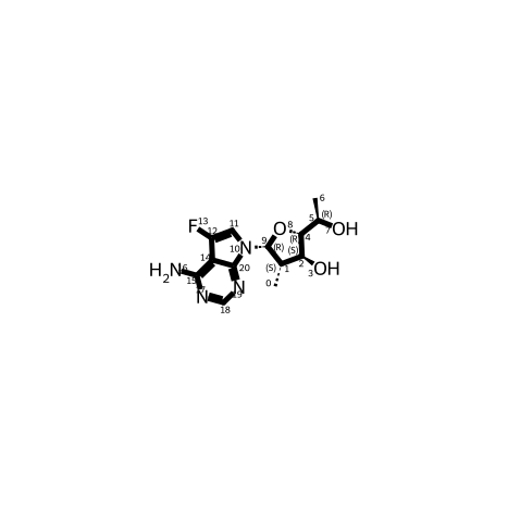 C[C@H]1[C@H](O)[C@@H]([C@@H](C)O)O[C@H]1n1cc(F)c2c(N)ncnc21